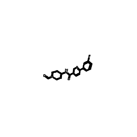 O=CN1CCC(NC(=O)c2ccc(-c3cccc(F)c3)nc2)CC1